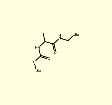 CC(NC(=O)OC(C)(C)C)C(=O)NCC(C)(C)C